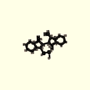 COOc1c(-c2[nH]c3ccccc3c2O)[nH]c2ccccc12